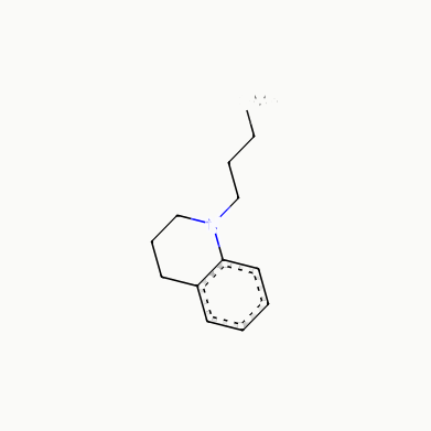 COCCCN1CCCc2c[c]ccc21